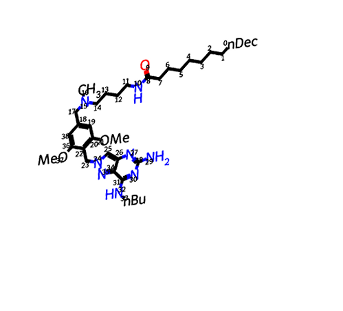 CCCCCCCCCCCCCCCCCC(=O)NCCCCN(C)Cc1cc(OC)c(Cn2cc3nc(N)nc(NCCCC)c3n2)c(OC)c1